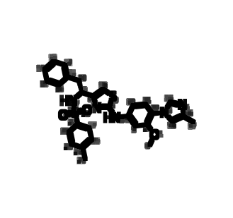 COc1cc(Nc2nc([C@H](Cc3ccccc3)NS(=O)(=O)c3ccc(C)cc3)cs2)ccc1-n1cnc(C)c1